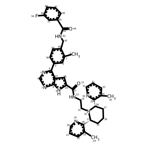 Cc1cc(-c2ncnc3[nH]c(C(=O)NCCN4[C@@H](c5ncccc5C)CCC[C@H]4c4ncccc4C)cc23)ccc1CNC(=O)c1cccc(F)c1